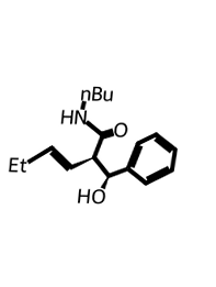 CCC=C[C@@H](C(=O)NCCCC)[C@H](O)c1ccccc1